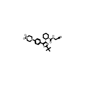 CC(C)(C)c1nc([C@@H]2CCCC[C@H]2C(=O)NCC#N)c(-c2ccc(N3CCS(=O)(=O)CC3)cc2)s1